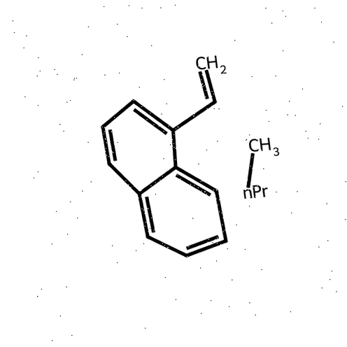 C=Cc1cccc2ccccc12.CCCC